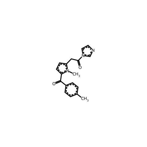 Cc1ccc(C(=O)c2ccc(CC(=O)n3ccnc3)n2C)cc1